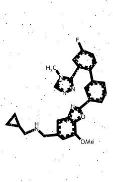 COc1cc(CNCC2CC2)cc2nc(-c3cccc(-c4ccc(F)cc4-c4nncn4C)c3)oc12